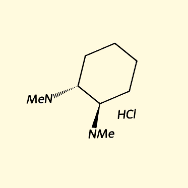 CN[C@@H]1CCCC[C@H]1NC.Cl